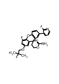 CC(C)(F)COc1cc(F)c2c(c1)C1(CCOC(N)=N1)c1cc(-c3cccnc3F)ccc1O2